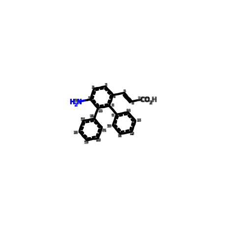 Nc1ccc(C=CC(=O)O)c(-c2ccccc2)c1-c1ccccc1